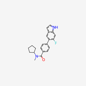 CN(C(=O)c1ccc(-c2cc3cc[nH]c3cc2F)cc1)C1CCCC1